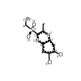 Cc1nc2cc(Cl)c(Cl)cc2nc1S(=O)(=O)CC(C)C